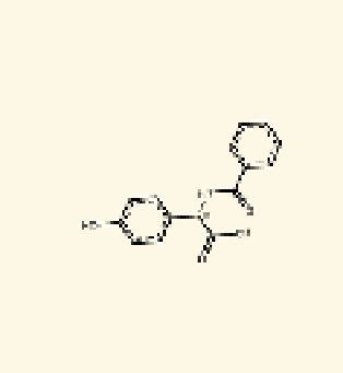 O=C(N[C@H](C(=O)O)c1ccc(O)cc1)c1ccccc1